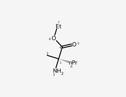 CCC[C@@](C)(N)C(=O)OCC